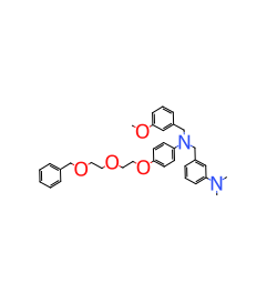 COc1cccc(CN(Cc2cccc(N(C)C)c2)c2ccc(OCCOCCOCc3ccccc3)cc2)c1